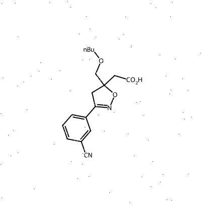 CCCCOCC1(CC(=O)O)CC(c2cccc(C#N)c2)=NO1